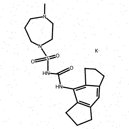 CN1CCCN(S(=O)(=O)NC(=O)Nc2c3c(cc4c2CCC4)CCC3)CC1.[K]